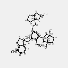 OCc1c(CC2(O)CCc3c(Cl)cccc32)nc(OC[C@@]23CCCN2C[C@H](F)C3)nc1N1C[C@@H]2CC[C@@H](C2)C1